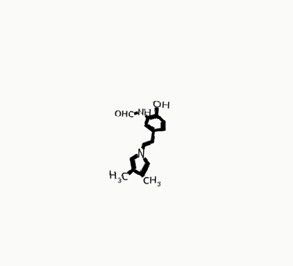 Cc1cn(CCc2ccc(O)c(NC=O)c2)cc1C